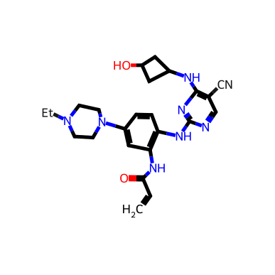 C=CC(=O)Nc1cc(N2CCN(CC)CC2)ccc1Nc1ncc(C#N)c(NC2CC(O)C2)n1